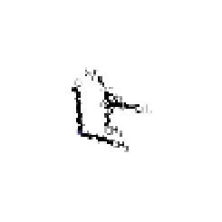 CCCCCCCC/C=C\CCCCCCCCO.CCCCOC(=O)CC(O)(CC(=O)OCCCC)C(=O)OCCCC